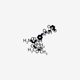 CC(N)C(=O)NC(C)C(=O)NC(CC(N)=O)C(=O)Nc1ccc(/C=N/C(=O)NCCN2C(=O)C=CC2=O)cc1